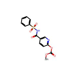 CCCOC(=O)Oc1ccc(C(=O)NS(=O)(=O)c2ccccc2)cn1